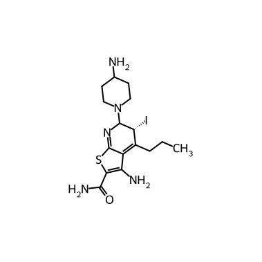 CCCC1=c2c(N)c(C(N)=O)sc2=NC(N2CCC(N)CC2)[C@@H]1I